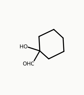 O=CC1(O)CCCCC1